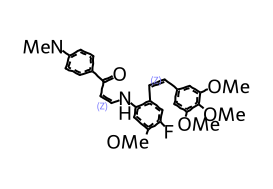 CNc1ccc(C(=O)/C=C\Nc2cc(OC)c(F)cc2/C=C\c2cc(OC)c(OC)c(OC)c2)cc1